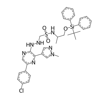 CC(CO[Si](c1ccccc1)(c1ccccc1)C(C)(C)C)NS(=O)(=O)CNNc1ncc(-c2ccc(Cl)cc2)nc1-c1cnn(C)c1